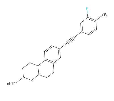 CCCCCCCC1CCC2c3ccc(C#Cc4ccc(C(F)(F)F)c(F)c4)cc3CCC2C1